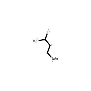 [CH2]SCCC(C)CC